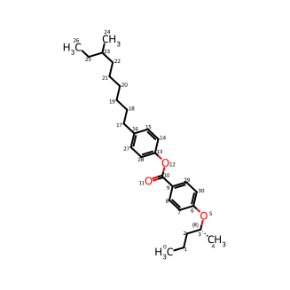 CCC[C@@H](C)Oc1ccc(C(=O)Oc2ccc(CCCCCCC(C)CC)cc2)cc1